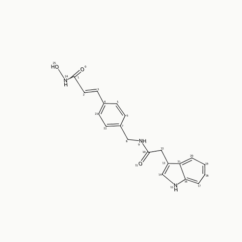 O=C(/C=C/c1ccc(CNC(=O)Cc2c[nH]c3ccccc23)cc1)NO